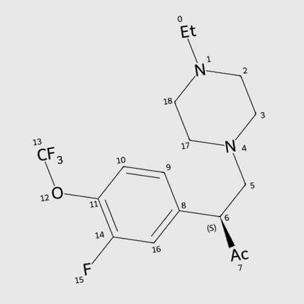 CCN1CCN(C[C@@H](C(C)=O)c2ccc(OC(F)(F)F)c(F)c2)CC1